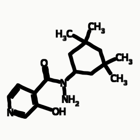 CC1(C)CC(N(N)C(=O)c2ccncc2O)CC(C)(C)C1